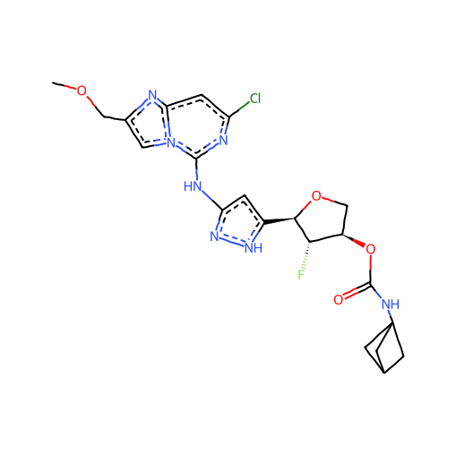 COCc1cn2c(Nc3cc([C@H]4OC[C@@H](OC(=O)NC56CC(C5)C6)[C@@H]4F)[nH]n3)nc(Cl)cc2n1